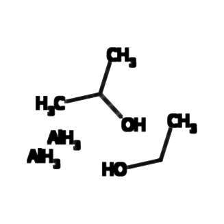 CC(C)O.CCO.[AlH3].[AlH3]